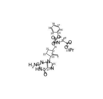 C=C1C(COP(=O)(N[C@@H](C)C(=O)OC(C)C)Oc2ccccc2)CCC1n1cnc2c(=O)[nH]c(N)nc21